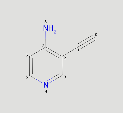 C#Cc1cnccc1N